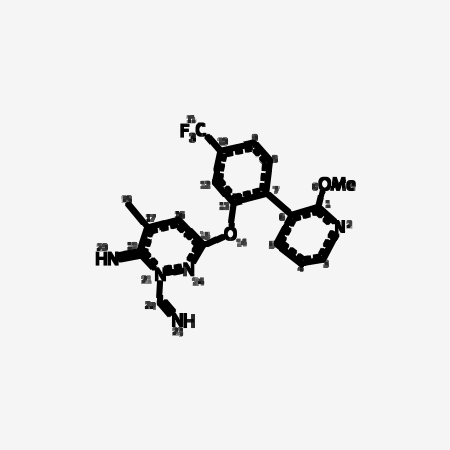 COc1ncccc1-c1ccc(C(F)(F)F)cc1Oc1cc(C)c(=N)n(C=N)n1